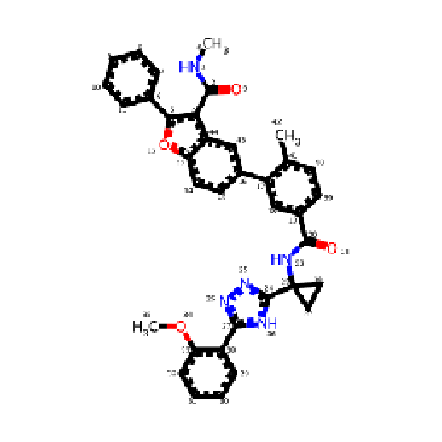 CNC(=O)c1c(-c2ccccc2)oc2ccc(-c3cc(C(=O)NC4(c5nnc(-c6ccccc6OC)[nH]5)CC4)ccc3C)cc12